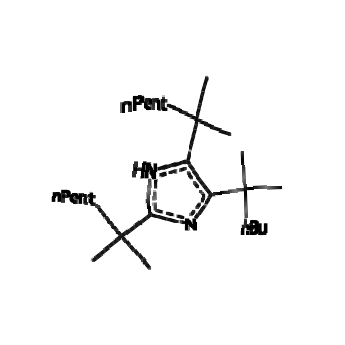 CCCCCC(C)(C)c1nc(C(C)(C)CCCC)c(C(C)(C)CCCCC)[nH]1